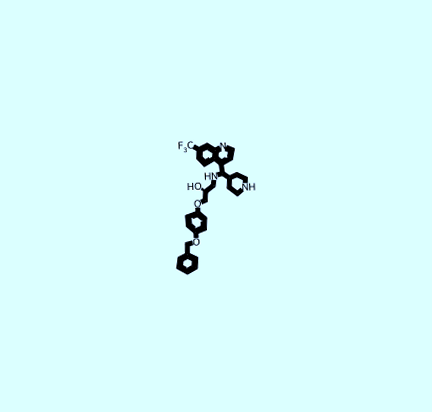 O[C@@H](CNC(c1ccnc2cc(C(F)(F)F)ccc12)C1CCNCC1)COc1ccc(OCc2ccccc2)cc1